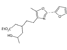 CCOC(=O)CC(CCc1nc(-c2ccco2)oc1C)CC(C)O